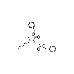 CCCCCC(CC)C(CCC(=O)OCc1ccccc1)C(=O)OCc1ccccc1